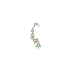 CCCCCc1ccc(-c2ccc(C(F)(F)Oc3cc(F)c(C(F)(F)Oc4cc(F)c(F)c(F)c4)c(F)c3)cc2)cc1